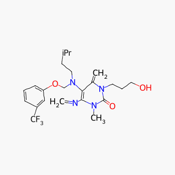 C=NC1=C(N(CCC(C)C)COc2cccc(C(F)(F)F)c2)C(=C)N(CCCO)C(=O)N1C